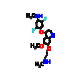 CNCCCOc1cc2nccc(Oc3cc(F)c(NC)cc3F)c2cc1OC